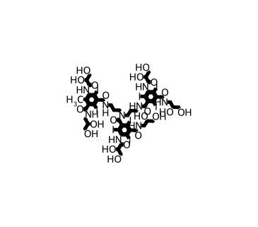 Cc1c(NC(=O)C(O)CO)c(I)c(C(=O)NCCCN(CCCNC(=O)c2c(I)c(NC(=O)C(O)CO)c(I)c(C(=O)NCC(O)CO)c2I)C(=O)c2c(I)c(NC(=O)C(O)CO)c(I)c(C(=O)NCC(O)CO)c2I)c(I)c1C(=O)NCC(O)CO